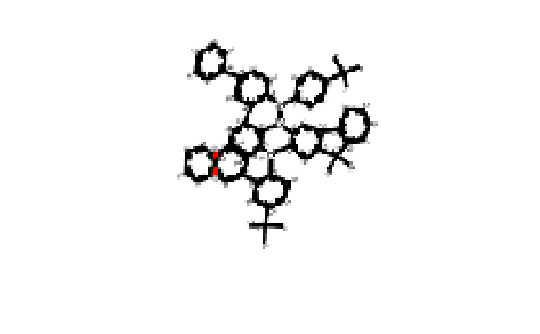 CC(C)(C)c1ccc(N2B3c4cc5c(cc4N(c4ccc(C(C)(C)C)cc4-c4ccccc4)c4cc(-c6ccccc6)cc(c43)-c3cc(-c4ccccc4)ccc32)C(C)(C)c2ccccc2-5)cc1